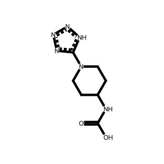 O=C(O)NC1CCN(c2nnn[nH]2)CC1